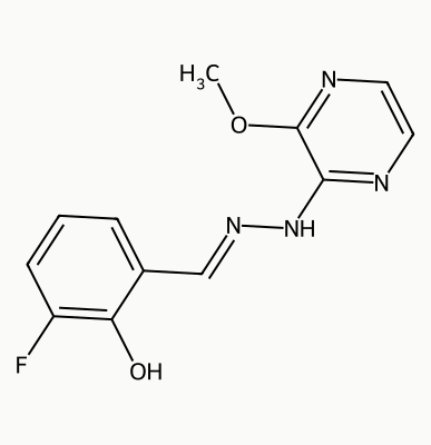 COc1nccnc1NN=Cc1cccc(F)c1O